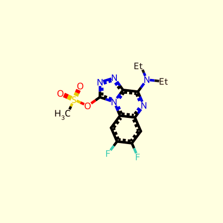 CCN(CC)c1nc2cc(F)c(F)cc2n2c(OS(C)(=O)=O)nnc12